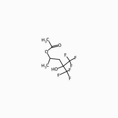 CC(=O)OC(C)CC(O)(C(F)(F)F)C(F)(F)F